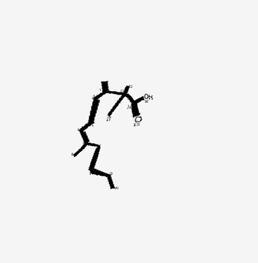 C=C(C=CC=C(C)C=CCC)C(C)(C)C(=O)O